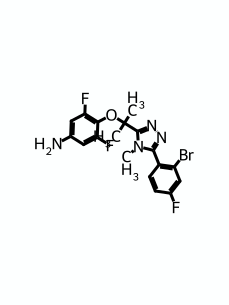 Cn1c(-c2ccc(F)cc2Br)nnc1C(C)(C)Oc1c(F)cc(N)cc1F